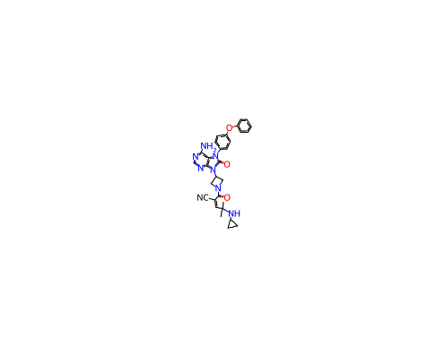 CC(C)(/C=C(/C#N)C(=O)N1CC(n2c(=O)n(-c3ccc(Oc4ccccc4)cc3)c3c(N)ncnc32)C1)NC1CC1